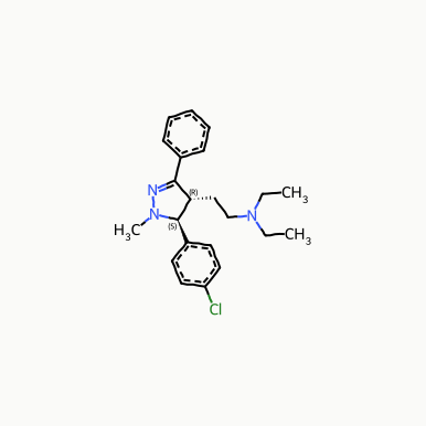 CCN(CC)CC[C@H]1C(c2ccccc2)=NN(C)[C@@H]1c1ccc(Cl)cc1